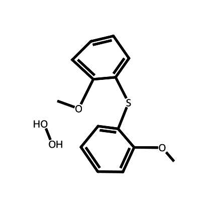 COc1ccccc1Sc1ccccc1OC.OO